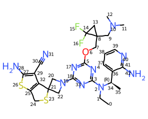 CCN(c1nc(OCC2(CN(C)C)CC2(F)F)nc(N2CC3(C2)SCc2sc(N)c(C#N)c23)n1)[C@H](C)c1cccnc1N